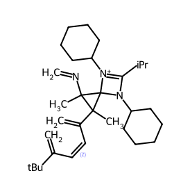 C=NC1(C)C(C)(C(=C)/C=C\C(=C)C(C)(C)C)C12N(C1CCCCC1)C(C(C)C)=[N+]2C1CCCCC1